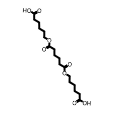 O=C(O)CCCCCOC(=O)CCCCC(=O)OCCCCCC(=O)O